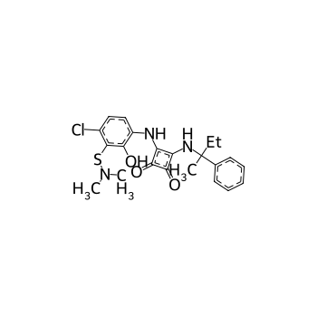 CCC(C)(Nc1c(Nc2ccc(Cl)c(SN(C)C)c2O)c(=O)c1=O)c1ccccc1